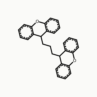 c1ccc2c(c1)Oc1ccccc1C2CCCC1c2ccccc2Oc2ccccc21